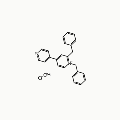 Cl.[Cl-].c1ccc(Cc2cc(-c3ccncc3)cc[n+]2Cc2ccccc2)cc1